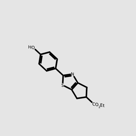 CCOC(=O)C1Cc2nc(-c3ccc(O)cc3)sc2C1